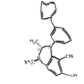 C[C@H]1N(C)c2ccc(C#N)c(C#N)c2N1c1cccc(-c2ccccc2)c1